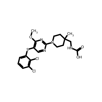 COc1nc(N2CCC(C)(CNC(=O)O)CC2)ncc1Sc1cccc(Cl)c1Cl